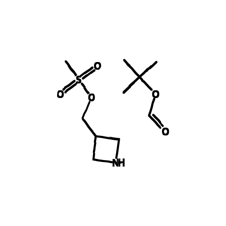 CC(C)(C)OC=O.CS(=O)(=O)OCC1CNC1